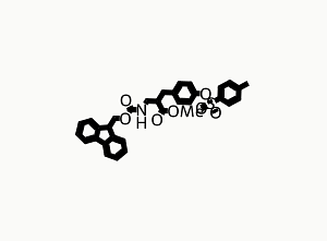 COC(=O)C(CNC(=O)OCC1c2ccccc2-c2ccccc21)Cc1ccc(OS(=O)(=O)c2ccc(C)cc2)cc1